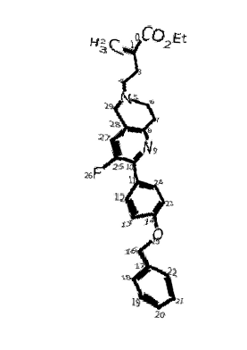 CCOC(=O)C(C)CCN1CCc2nc(-c3ccc(OCc4ccccc4)cc3)c(F)cc2C1